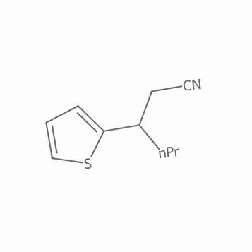 CCCC(CC#N)c1cccs1